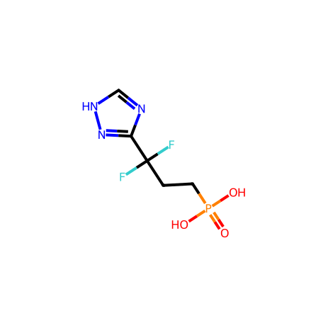 O=P(O)(O)CCC(F)(F)c1nc[nH]n1